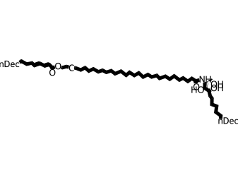 CCCCCCCCCCCCCC=CC=CC(=O)OCCCCCCCCCCCCCCCCCCCCCCCCCCCCCCC(=O)N[C@H](CO)[C@H](O)C(O)CCCCCCCCCCCCCCCC